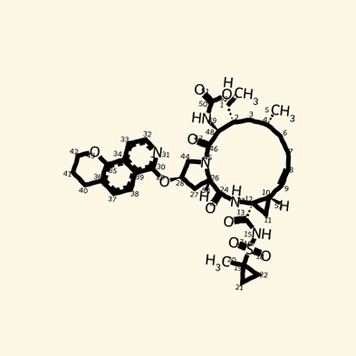 CC[C@@H]1C[C@H](C)CC/C=C\[C@@H]2C[C@@]2(C(=O)NS(=O)(=O)C2(C)CC2)NC(=O)[C@@H]2C[C@@H](Oc3nccc4c5c(ccc34)CCCO5)CN2C(=O)[C@H]1NC(=O)O